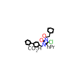 CCCc1c(Cl)n(C(=O)Cc2ccccc2)c(=O)n1Cc1ccc(-c2ccccc2C(=O)O)cc1